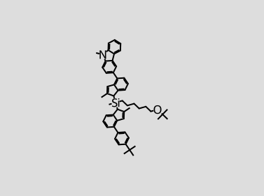 CC1=Cc2c(-c3ccc(C(C)(C)C)cc3)cccc2C1[Si](C)(CCCCCCOC(C)(C)C)C1C(C)=Cc2c(-c3ccc4c(c3)c3ccccc3n4C)cccc21